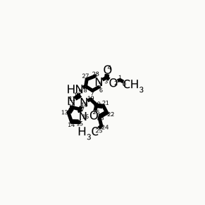 CCOC(=O)N1CCC(Nc2nc3cccnc3n2Cc2ccc(CC)o2)CC1